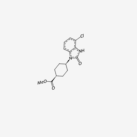 COC(=O)[C@H]1CC[C@@H](n2c(=O)[nH]c3c(Cl)cccc32)CC1